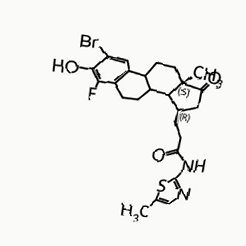 Cc1cnc(NC(=O)CC[C@@H]2CC(=O)[C@@]3(C)CCC4c5cc(Br)c(O)c(F)c5CCC4C23)s1